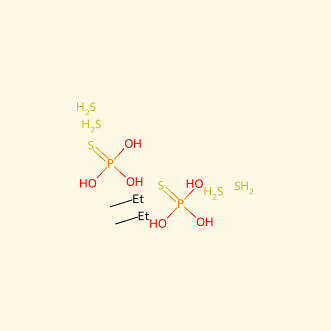 CCC.CCC.OP(O)(O)=S.OP(O)(O)=S.S.S.S.S